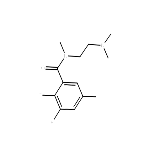 CN(C)CCN(C)C(=O)c1cc(I)cc(F)c1F